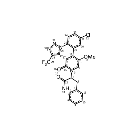 COc1cn(C(Cc2ccccc2)C(N)=O)c(=O)cc1-c1cc(Cl)ccc1-n1cc(C(F)(F)F)nn1